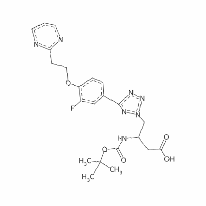 CC(C)(C)OC(=O)NC(CC(=O)O)Cn1nnc(-c2ccc(OCCc3ncccn3)c(F)c2)n1